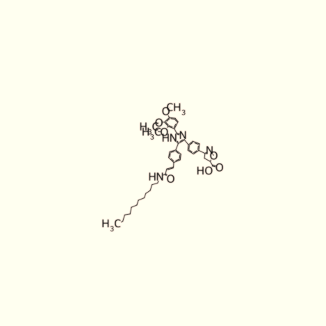 CCCCCCCCCCCCNC(=O)/C=C/c1ccc(-c2[nH]c(-c3ccc(OC)c(OC)c3OC)nc2-c2ccc(C3=NOC(C(=O)O)C3)cc2)cc1